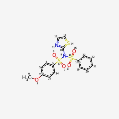 COc1ccc(S(=O)(=O)N(c2nccs2)S(=O)(=O)c2ccccc2)cc1